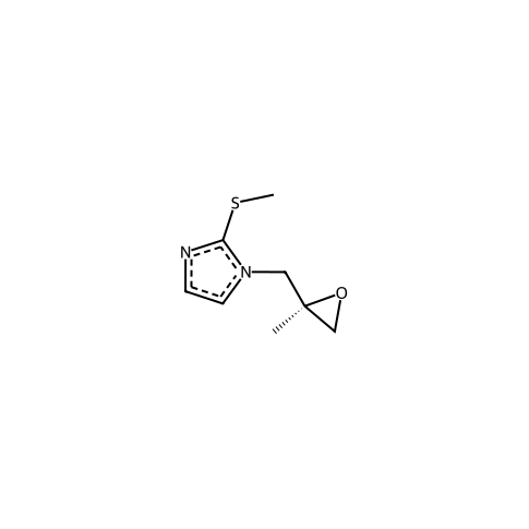 CSc1nccn1C[C@]1(C)CO1